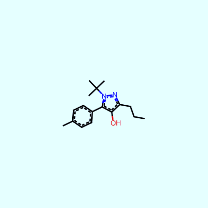 CCCc1nn(C(C)(C)C)c(-c2ccc(C)cc2)c1O